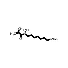 C=C(C)C(=O)N(N)CCCCCCCCCCCCCCCC